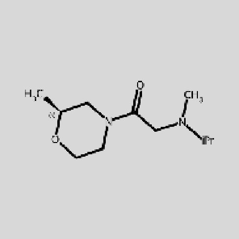 CC(C)N(C)CC(=O)N1CCO[C@@H](C)C1